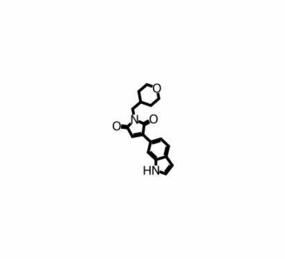 O=C1C=C(c2ccc3cc[nH]c3c2)C(=O)N1CC1CCOCC1